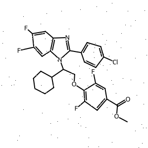 COC(=O)c1cc(F)c(OCC(C2CCCCC2)n2c(-c3ccc(Cl)cc3)nc3cc(F)c(F)cc32)c(F)c1